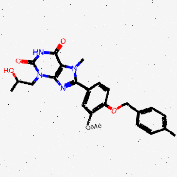 COc1cc(-c2nc3c(c(=O)[nH]c(=O)n3CC(C)O)n2C)ccc1OCc1ccc(C)cc1